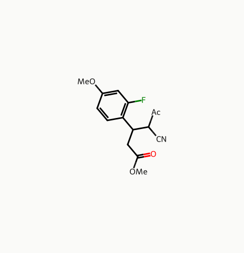 COC(=O)CC(c1ccc(OC)cc1F)C(C#N)C(C)=O